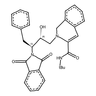 CC(C)(C)NC(=O)C1=Cc2ccccc2CN1C[C@@H](O)[C@H](Cc1ccccc1)N1C(=O)c2ccccc2C1=O